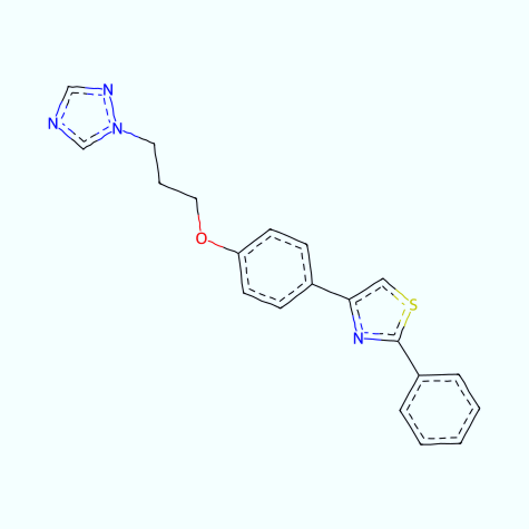 c1ccc(-c2nc(-c3ccc(OCCCn4cncn4)cc3)cs2)cc1